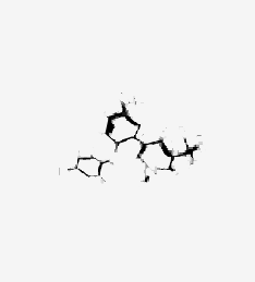 Cn1cc(-c2cc(S)ccc2Oc2ccc(F)cc2F)cc(C(F)(F)F)c1=O